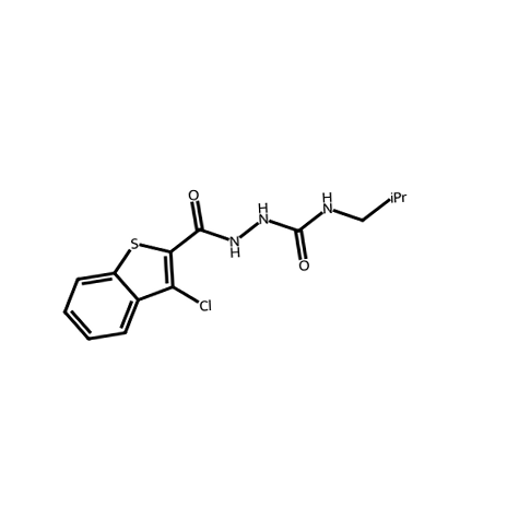 CC(C)CNC(=O)NNC(=O)c1sc2ccccc2c1Cl